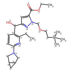 CCOC(=O)c1cc(C(O)c2ccc(N3CC4CC4C3)nc2CC)nn1COCC[Si](C)(C)C